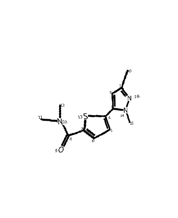 Cc1cc(-c2ccc(C(=O)N(C)C)s2)n(C)n1